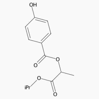 CC(C)OC(=O)C(C)OC(=O)c1ccc(O)cc1